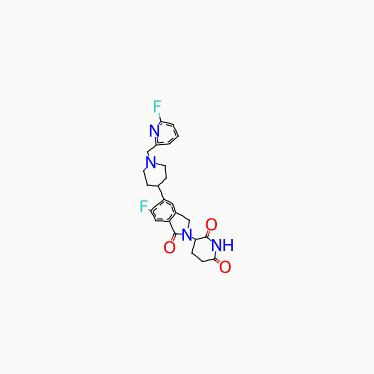 O=C1CCC(N2Cc3cc(C4CCN(Cc5cccc(F)n5)CC4)c(F)cc3C2=O)C(=O)N1